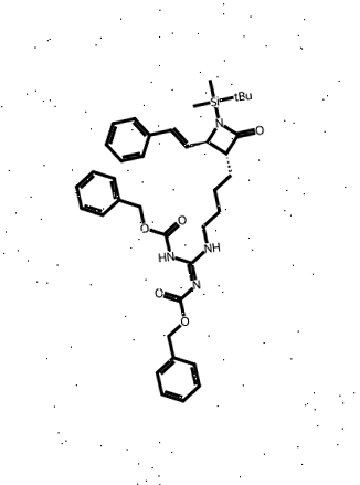 CC(C)(C)[Si](C)(C)N1C(=O)[C@H](CCCCNC(=NC(=O)OCc2ccccc2)NC(=O)OCc2ccccc2)[C@H]1C=Cc1ccccc1